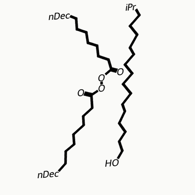 CC(C)CCCCCCCCCCCCCCCO.CCCCCCCCCCCCCCCCCC(=O)OOC(=O)CCCCCCCCCCCCCCCCC